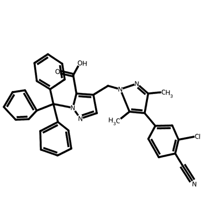 Cc1nn(Cc2cnn(C(c3ccccc3)(c3ccccc3)c3ccccc3)c2C(=O)O)c(C)c1-c1ccc(C#N)c(Cl)c1